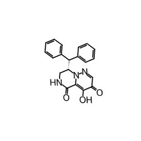 O=C1NC[C@H](C(c2ccccc2)c2ccccc2)n2ncc(=O)c(O)c21